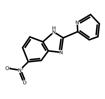 O=[N+]([O-])c1ccc2[nH]c(-c3ccccn3)nc2c1